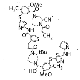 C=CC(=O)N1CCCN(C(=O)c2cc(Sc3cnc(NC(=O)c4cscc4/C=C\C(=O)N4CCCN(C(O)c5cc(Sc6cnc(Nc7ccccn7)s6)c(C)cc5OC)C[C@H]4C(C)(C)C)s3)c(C)cc2OC)C[C@H]1C#N